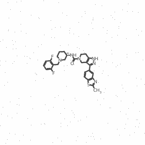 Cc1nc2cc(-c3n[nH]c4c3CN(C(=O)N[C@@H]3CCCN(Cc5c(F)cccc5F)C3)CC4)ccc2s1